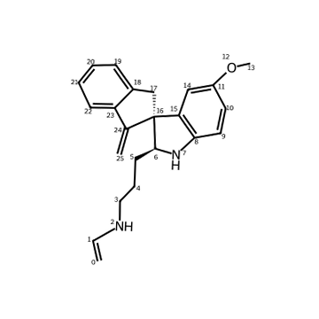 C=CNCCC[C@@H]1Nc2ccc(OC)cc2[C@@]12Cc1ccccc1C2=C